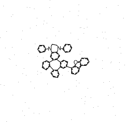 c1ccc(N2CCN(c3ccccc3)c3cc4c(cc32)-c2ccccc2-c2ccccc2-c2cc(-c3cccc5c3oc3ccccc35)ccc2-4)cc1